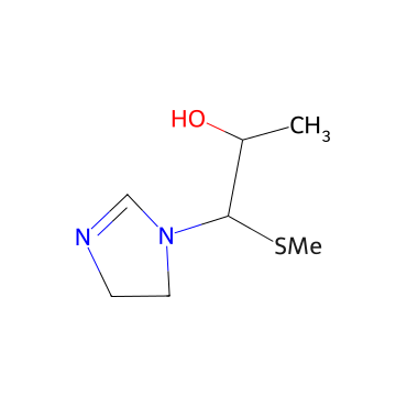 CSC(C(C)O)N1C=NCC1